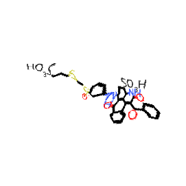 O=C(c1ccccc1)c1c2c3c(c(Nc4cccc([S+]([O-])CCSCCCS(=O)(=O)O)c4)cc(S(=O)(=O)O)c3[nH]c1=O)C(=O)c1ccccc1-2